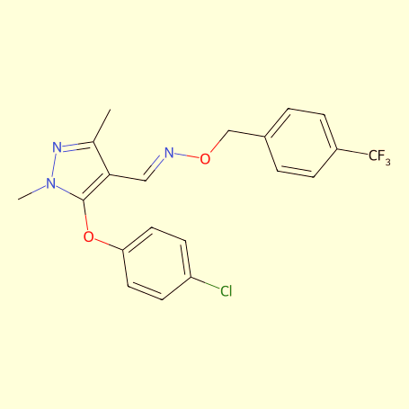 Cc1nn(C)c(Oc2ccc(Cl)cc2)c1C=NOCc1ccc(C(F)(F)F)cc1